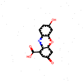 O=C(O)c1cc(=O)cc2oc3cc(O)ccc3nc1-2